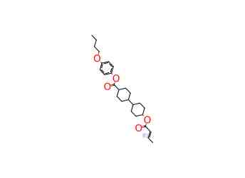 C/C=C/C(=O)OC1CCC(C2CCC(C(=O)Oc3ccc(OCCCC)cc3)CC2)CC1